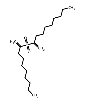 C=C(CCCCCCCC)S(=O)(=O)C(=C)CCCCCCCC